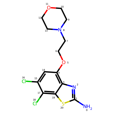 Nc1nc2c(OCCN3CCOCC3)cc(Cl)c(Cl)c2s1